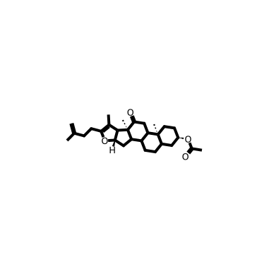 C=C(C)CCC1=C(C)C2[C@H](CC3C4CCC5C[C@@H](OC(C)=O)CC[C@]5(C)C4CC(=O)[C@@]32C)O1